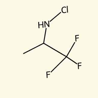 CC(NCl)C(F)(F)F